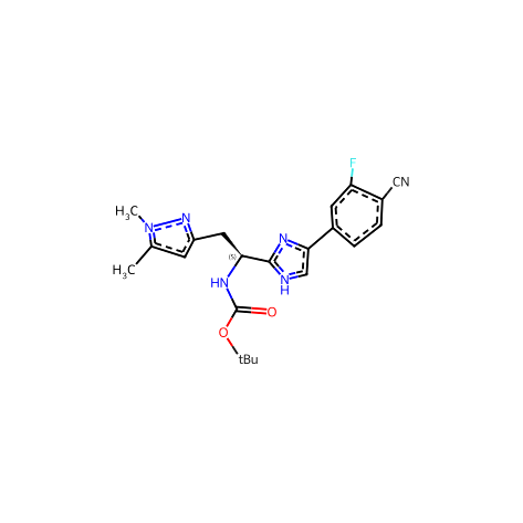 Cc1cc(C[C@H](NC(=O)OC(C)(C)C)c2nc(-c3ccc(C#N)c(F)c3)c[nH]2)nn1C